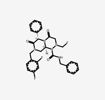 O=C1[C@H](c2ccccc2)N2C(=O)CN(CF)N(C(=O)NCc3ccccc3)[C@H]2CN1Cc1ccc(F)cc1F